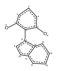 Clc1cccc(Cl)c1-n1ccc2c[c]ccc21